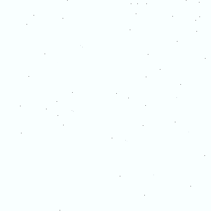 COc1cc(Cc2cc([N+](=O)[O-])ccc2OC(=O)Oc2ccc([N+](=O)[O-])cc2Cc2cc(OC)c(OC)cc2[N+](=O)[O-])c([N+](=O)[O-])cc1OC